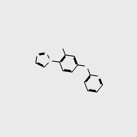 Fc1cc(Oc2ccccn2)ccc1-n1c[c]nn1